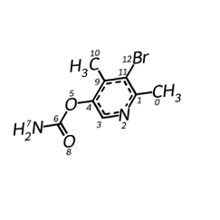 Cc1ncc(OC(N)=O)c(C)c1Br